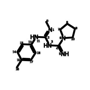 C/N=C(/NC(=N)N1CCCC1)Nc1ccc(C)cc1